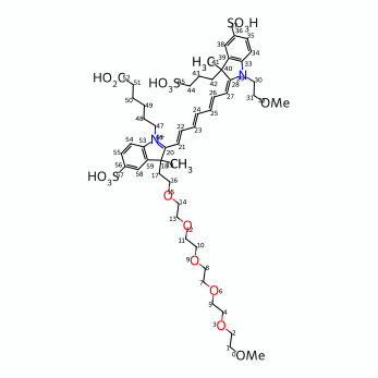 COCCOCCOCCOCCOCCOCCC1(C)C(/C=C/C=C/C=C/C=C2/N(CCOC)c3ccc(S(=O)(=O)O)cc3C2(C)CCCS(=O)(=O)O)=[N+](CCCCCC(=O)O)c2ccc(S(=O)(=O)O)cc21